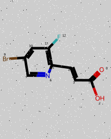 O=C(O)/C=C/c1ncc(Br)cc1F